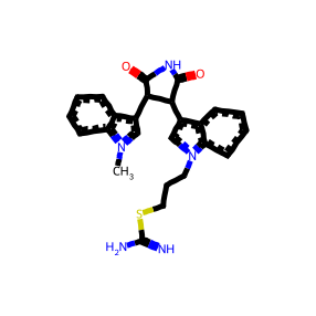 Cn1cc(C2C(=O)NC(=O)C2c2cn(CCCSC(=N)N)c3ccccc23)c2ccccc21